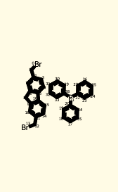 BrCc1ccc2c(c1)Cc1cc(CBr)ccc1-2.c1ccc(P(c2ccccc2)c2ccccc2)cc1